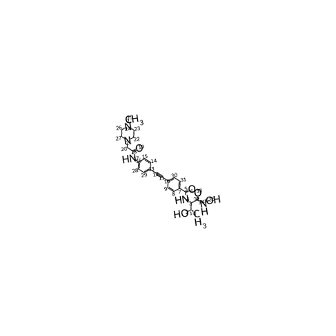 C[C@@H](O)[C@H](NC(=O)c1ccc(C#Cc2ccc(NC(=O)CN3CCN(C)CC3)cc2)cc1)C(=O)NO